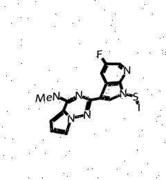 CNc1nc(-c2cn(SI)c3ncc(F)cc23)nn2cccc12